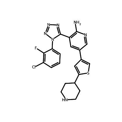 Nc1ncc(-c2csc(C3CCNCC3)c2)cc1-c1nnnn1-c1cccc(Cl)c1F